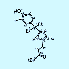 CCC(CC)(c1ccc(O)c(C)c1)c1cc(C)c(CCC(=O)C(C)(C)C)s1